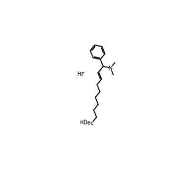 CCCCCCCCCCCCCCCCC=CC(c1ccccc1)N(C)C.F